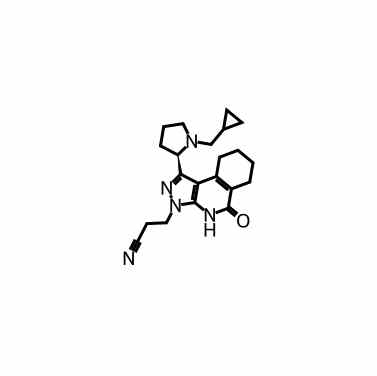 N#CCCn1nc([C@H]2CCCN2CC2CC2)c2c3c(c(=O)[nH]c21)CCCC3